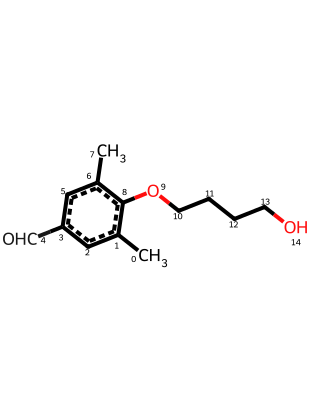 Cc1cc(C=O)cc(C)c1OCCCCO